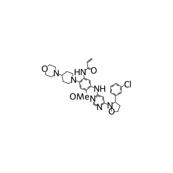 C=CC(=O)Nc1cc(Nc2cc(N3OCCC3c3cccc(Cl)c3)ncn2)c(OC)cc1N1CCC(N2CCOCC2)CC1